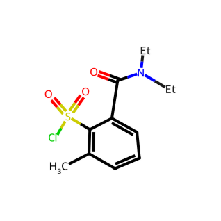 CCN(CC)C(=O)c1cccc(C)c1S(=O)(=O)Cl